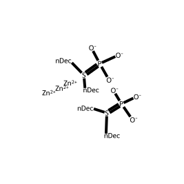 CCCCCCCCCCS(CCCCCCCCCC)=P([O-])([O-])[O-].CCCCCCCCCCS(CCCCCCCCCC)=P([O-])([O-])[O-].[Zn+2].[Zn+2].[Zn+2]